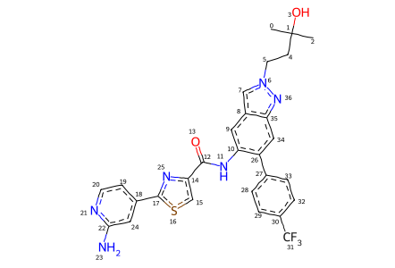 CC(C)(O)CCn1cc2cc(NC(=O)c3csc(-c4ccnc(N)c4)n3)c(-c3ccc(C(F)(F)F)cc3)cc2n1